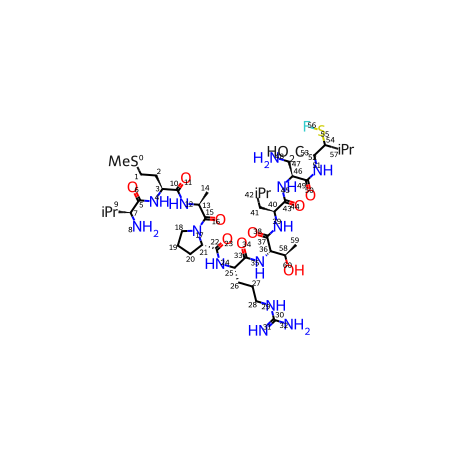 CSCC[C@H](NC(=O)[C@@H](N)C(C)C)C(=O)N[C@@H](C)C(=O)N1CCC[C@H]1C(=O)N[C@@H](CCCNC(=N)N)C(=O)N[C@H](C(=O)N[C@@H](CC(C)C)C(=O)N[C@@H](CN)C(=O)N[C@H](C(=O)O)C(SF)C(C)C)[C@@H](C)O